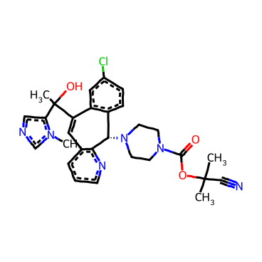 Cn1cncc1C(C)(O)C1=Cc2cccnc2[C@@H](N2CCN(C(=O)OC(C)(C)C#N)CC2)c2ccc(Cl)cc21